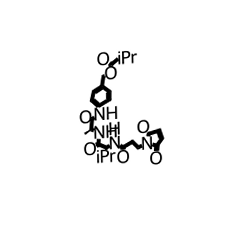 CC(C)C(=O)OCc1ccc(NC(=O)[C@H](C)NC(=O)[C@@H](NC(=O)CCN2C(=O)C=CC2=O)C(C)C)cc1